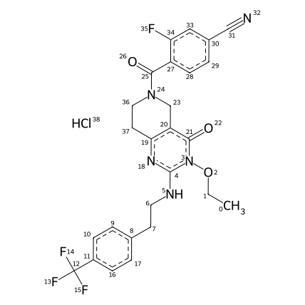 CCOn1c(NCCc2ccc(C(F)(F)F)cc2)nc2c(c1=O)CN(C(=O)c1ccc(C#N)cc1F)CC2.Cl